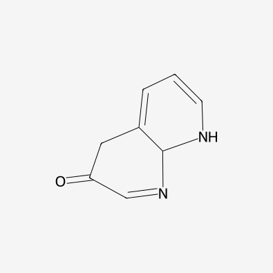 O=C1C=NC2NC=CC=C2C1